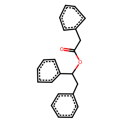 O=C(Cc1ccccc1)OC(Cc1ccccc1)c1ccccc1